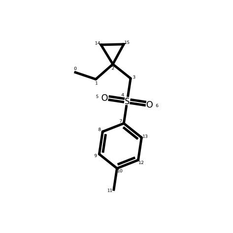 CCC1(CS(=O)(=O)c2ccc(C)cc2)CC1